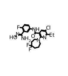 CCc1nc(N2CCCC(F)(F)CC2)c(C(=O)Nc2ccc(F)c(C(N)=NO)c2)cc1Cl